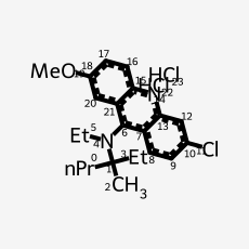 CCCC(C)(CC)N(CC)c1c2ccc(Cl)cc2nc2ccc(OC)cc12.Cl.Cl